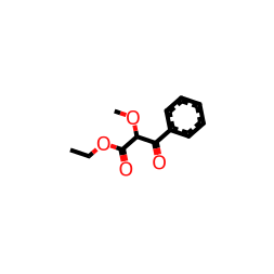 CCOC(=O)C(OC)C(=O)c1ccccc1